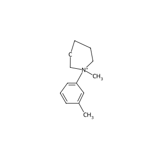 Cc1cccc([N+]2(C)CCCCC2)c1